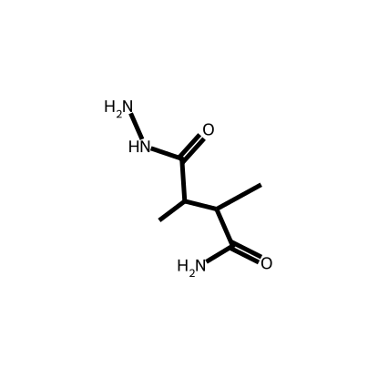 CC(C(N)=O)C(C)C(=O)NN